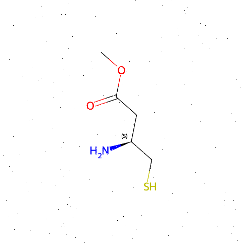 COC(=O)C[C@H](N)CS